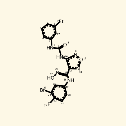 CCc1cccc(NC(=O)Nc2nonc2/C(=N/O)Nc2ccc(F)c(Br)c2)c1